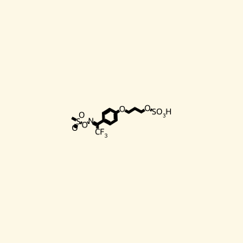 CS(=O)(=O)O/N=C(/c1ccc(OCCCOS(=O)(=O)O)cc1)C(F)(F)F